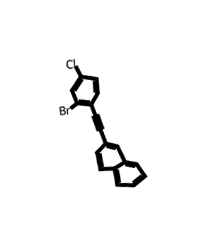 Clc1ccc(C#Cc2ccc3ccccc3c2)c(Br)c1